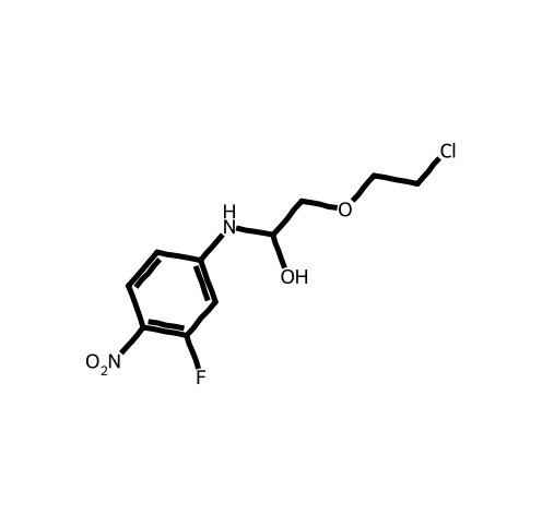 O=[N+]([O-])c1ccc(NC(O)COCCCl)cc1F